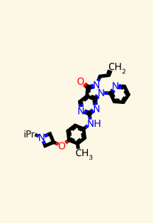 C=CCn1c(=O)c2cnc(Nc3ccc(OC4CN(C(C)C)C4)c(C)c3)nc2n1-c1ccccn1